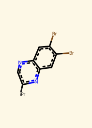 CC(C)c1cnc2cc(Br)c(Br)cc2n1